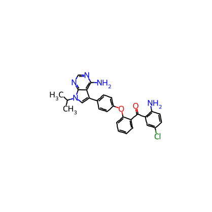 CC(C)n1cc(-c2ccc(Oc3ccccc3C(=O)c3cc(Cl)ccc3N)cc2)c2c(N)ncnc21